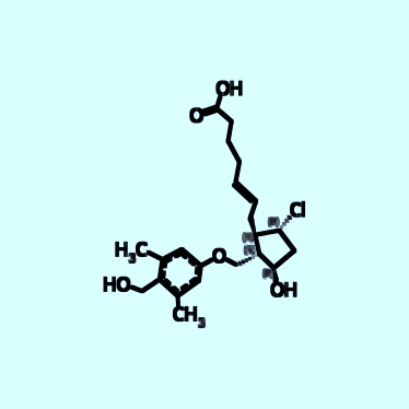 Cc1cc(OC[C@@H]2[C@@H](CC=CCCCC(=O)O)[C@H](Cl)C[C@H]2O)cc(C)c1CO